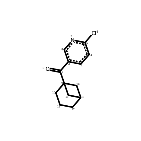 O=C(c1ccc(Cl)nc1)C12CCCC(C1)C2